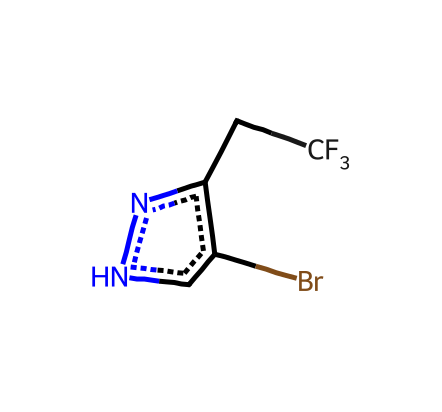 FC(F)(F)Cc1n[nH]cc1Br